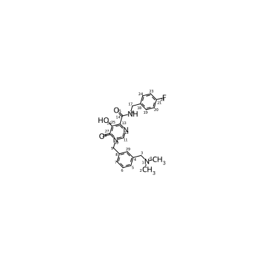 CN(C)Cc1cccc(Cn2cnc(C(=O)NCc3ccc(F)cc3)c(O)c2=O)c1